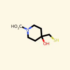 O=C(O)N1CCC(O)(CS)CC1